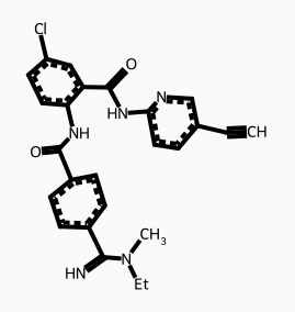 C#Cc1ccc(NC(=O)c2cc(Cl)ccc2NC(=O)c2ccc(C(=N)N(C)CC)cc2)nc1